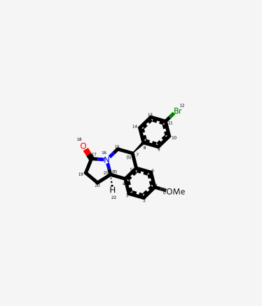 COc1ccc2c(c1)[C@H](c1ccc(Br)cc1)CN1C(=O)CC[C@H]21